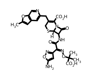 Cc1cc2cc(CC3=C(C(=O)O)N4C(=O)C(NC(=O)C(=NOC(C)(C)C(=O)O)c5cc(N)on5)[C@@H]4SC3)ncc2o1